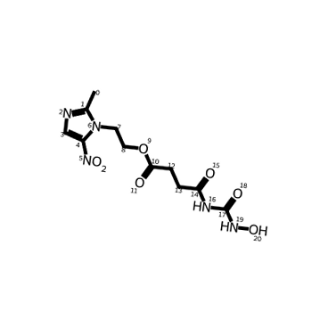 Cc1ncc([N+](=O)[O-])n1CCOC(=O)CCC(=O)NC(=O)NO